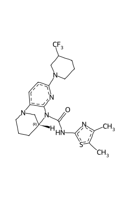 Cc1nc(NC(=O)N2c3nc(N4CCCC(C(F)(F)F)C4)ccc3N3CCC[C@@H]2C3)sc1C